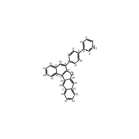 c1cncc(-c2ccc(-c3cc4ccccc4c4c3oc3cc5ccccc5cc34)cc2)c1